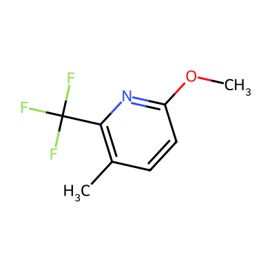 COc1ccc(C)c(C(F)(F)F)n1